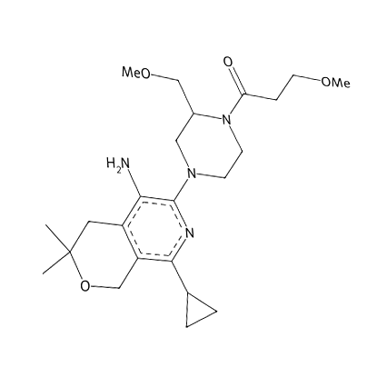 COCCC(=O)N1CCN(c2nc(C3CC3)c3c(c2N)CC(C)(C)OC3)CC1COC